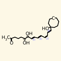 CC(=O)CCC[C@H](O)[C@H](O)/C=C/C=C/C=C\C=C\C1(O)CCCCCCC1